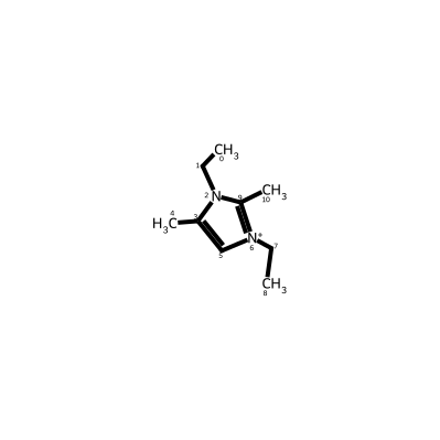 CCn1c(C)c[n+](CC)c1C